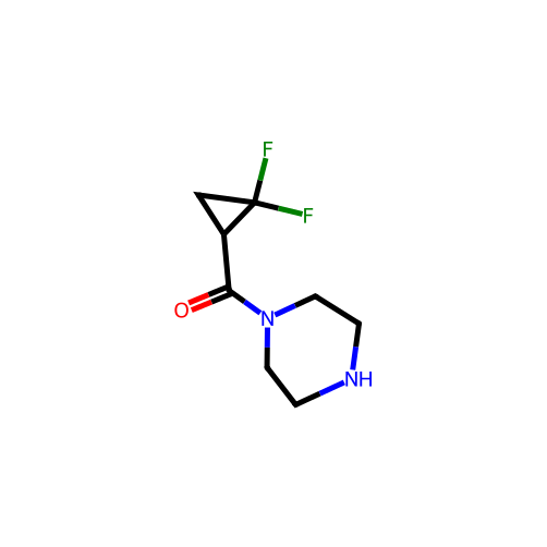 O=C(C1CC1(F)F)N1CCNCC1